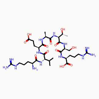 CC(C)[C@H](NC(=O)[C@@H](N)CCCNC(=N)N)C(=O)N[C@@H](CCC(=O)O)C(=O)N[C@@H](C)C(=O)N[C@H](C(=O)N[C@@H](CO)C(=O)N[C@@H](CCCNC(=N)N)C(=O)O)[C@@H](C)O